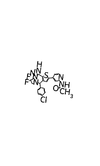 CC(=O)Nc1cc(-c2cc(C(c3ccc(Cl)cc3)N3CC(F)(F)C3)c(-c3nnc[nH]3)s2)ccn1